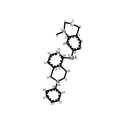 CN1CCCc2ccc(Nc3nccc4c3CCN(c3ccccc3)C4)cc21